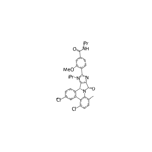 COc1cc(C(=O)NC(C)C)ccc1-c1nc2c(n1C(C)C)C1c3ccc(Cl)cc3-c3c(Cl)ccc(C)c3N1C2=O